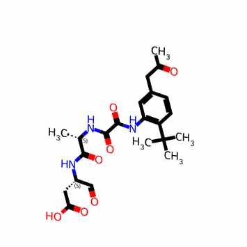 CC(=O)Cc1ccc(C(C)(C)C)c(NC(=O)C(=O)N[C@@H](C)C(=O)N[C@H](C=O)CC(=O)O)c1